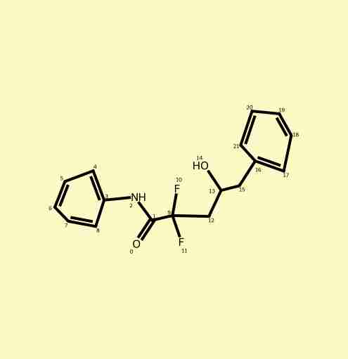 O=C(Nc1ccccc1)C(F)(F)CC(O)Cc1ccccc1